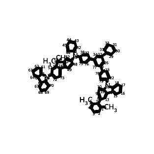 Cc1cccc(C)c1-c1ccc2c(c1)c1ccccc1n2-c1ccc(-c2cc(-c3ccccc3)cc(-c3ccc(N(c4ccccc4)c4ccc5c(c4)C(C)(C)c4cc(-n6c7ccccc7c7ccccc76)ccc4-5)cc3)c2)cc1